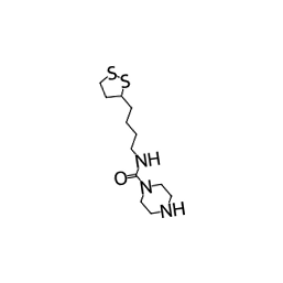 O=C(NCCCCC1CCSS1)N1CCNCC1